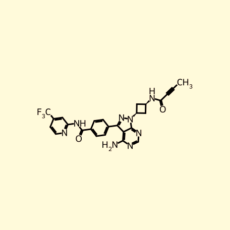 CC#CC(=O)N[C@H]1C[C@@H](n2nc(-c3ccc(C(=O)Nc4cc(C(F)(F)F)ccn4)cc3)c3c(N)ncnc32)C1